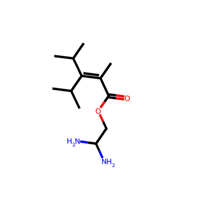 CC(C(=O)OCC(N)N)=C(C(C)C)C(C)C